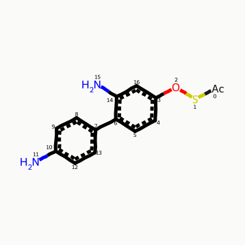 CC(=O)SOc1ccc(-c2ccc(N)cc2)c(N)c1